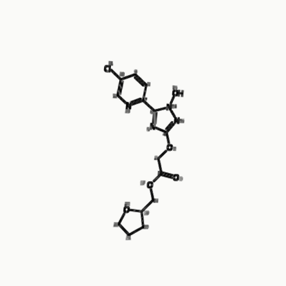 O=C(COc1nc(-c2ccc(Cl)cn2)n(O)n1)OCC1CCCO1